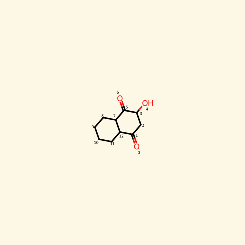 O=C1CC(O)C(=O)C2CCCCC12